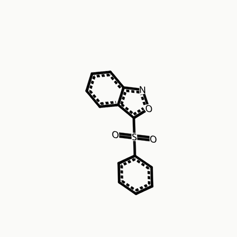 O=S(=O)(c1ccccc1)c1onc2ccccc12